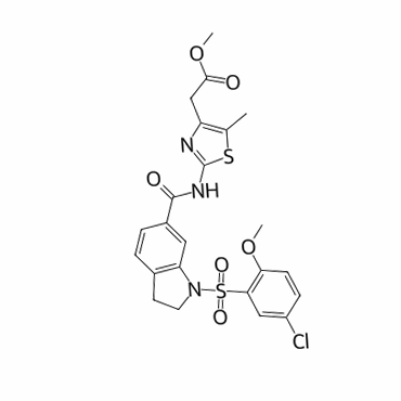 COC(=O)Cc1nc(NC(=O)c2ccc3c(c2)N(S(=O)(=O)c2cc(Cl)ccc2OC)CC3)sc1C